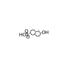 O=S(=O)(O)c1ccc2[c]c(O)ccc2c1